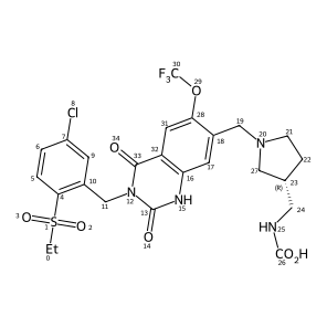 CCS(=O)(=O)c1ccc(Cl)cc1Cn1c(=O)[nH]c2cc(CN3CC[C@H](CNC(=O)O)C3)c(OC(F)(F)F)cc2c1=O